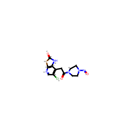 O=NN1CCN(C(=O)Cc2c(Cl)cnc3sc(=O)[nH]c23)CC1